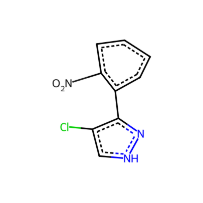 O=[N+]([O-])c1ccccc1-c1n[nH]cc1Cl